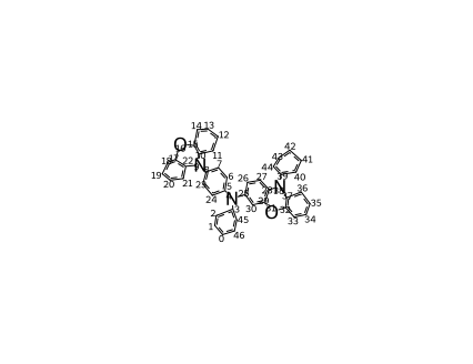 c1ccc(N(c2ccc(N3c4ccccc4Oc4ccccc43)cc2)c2ccc3c(c2)Oc2ccccc2N3c2ccccc2)cc1